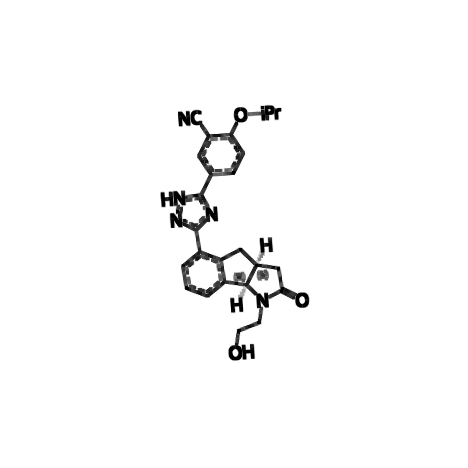 CC(C)Oc1ccc(-c2nc(-c3cccc4c3C[C@H]3CC(=O)N(CCO)[C@@H]43)n[nH]2)cc1C#N